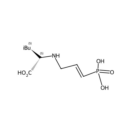 CC[C@H](C)[C@H](NCC=CP(=O)(O)O)C(=O)O